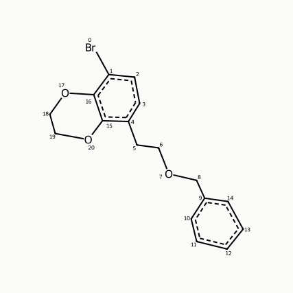 Brc1ccc(CCOCc2ccccc2)c2c1OCCO2